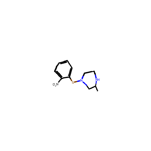 CC1CN(Sc2ccccc2[N+](=O)[O-])CCN1